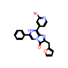 O=c1c(Cc2ccco2)nc2c(-c3ccnc(Br)c3)[nH]c(-c3ccccc3)cn1-2